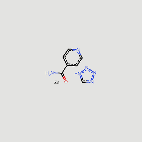 NC(=O)c1ccncc1.[Zn].c1nnn[nH]1